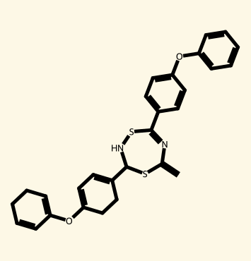 C=C1N=C(c2ccc(Oc3ccccc3)cc2)SNC(C2=CC=C(OC3=CCCC=C3)CC2)S1